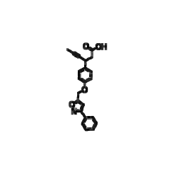 CC#CC(CC(=O)O)c1ccc(OCc2cc(-c3ccccc3)no2)cc1